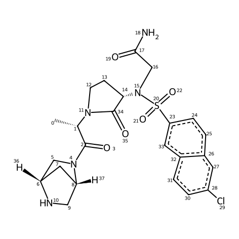 C[C@@H](C(=O)N1C[C@@H]2C[C@H]1CN2)N1CC[C@H](N(CC(N)=O)S(=O)(=O)c2ccc3cc(Cl)ccc3c2)C1=O